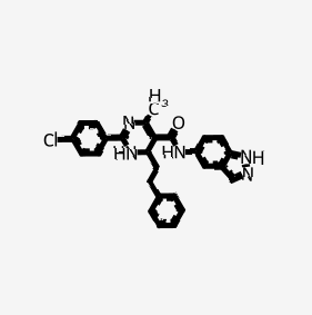 CC1=C(C(=O)Nc2ccc3[nH]ncc3c2)C(CCc2ccccc2)NC(c2ccc(Cl)cc2)=N1